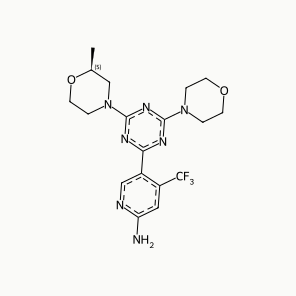 C[C@H]1CN(c2nc(-c3cnc(N)cc3C(F)(F)F)nc(N3CCOCC3)n2)CCO1